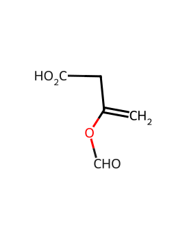 C=C(CC(=O)O)OC=O